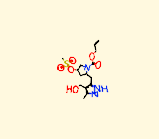 C=CCOC(=O)N1CC(OS(C)(=O)=O)CC1Cc1[nH]nc(C)c1CO